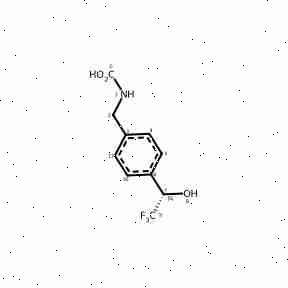 O=C(O)NCc1ccc([C@H](O)C(F)(F)F)cc1